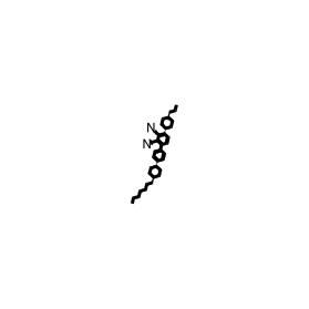 CCCCCCC[C@H]1CC[C@H](c2ccc(-c3ccc([C@H]4CC[C@H](CCC)CC4)c(C#N)c3C#N)cc2)CC1